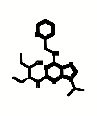 CCC(O)[C@@H](CC)Nc1nc(NCc2ccccn2)c2ncn(C(C)C)c2n1